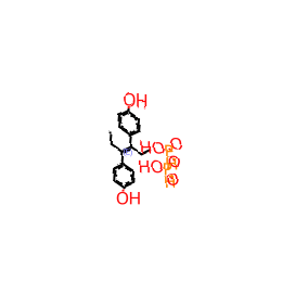 CC/C(=C(/CC)c1ccc(O)cc1)c1ccc(O)cc1.O=[PH](O)O[PH](=O)O